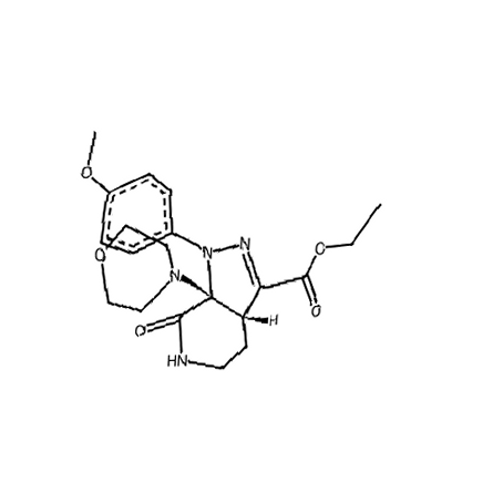 CCOC(=O)C1=NN(c2ccc(OC)cc2)[C@@]2(N3CCOCC3)C(=O)NCC[C@@H]12